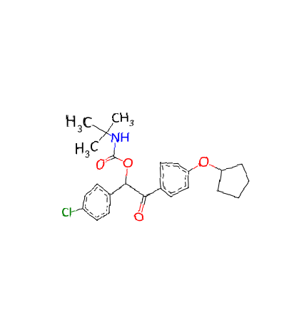 CC(C)(C)NC(=O)OC(C(=O)c1ccc(OC2CCCC2)cc1)c1ccc(Cl)cc1